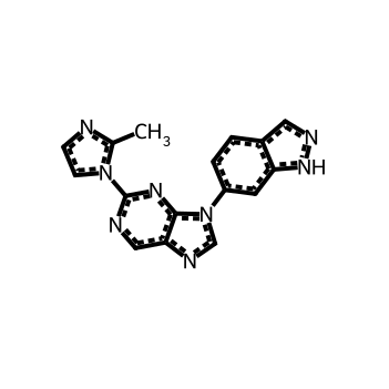 Cc1nccn1-c1ncc2ncn(-c3ccc4cn[nH]c4c3)c2n1